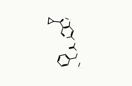 COC[C@@H](NC(=O)Nc1cc2[nH]nc(C3CC3)c2cn1)c1ccccc1